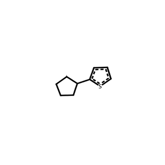 [CH]1CCCC1c1cccs1